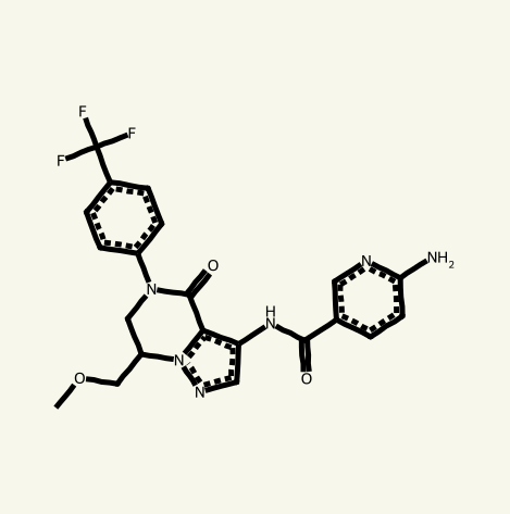 COCC1CN(c2ccc(C(F)(F)F)cc2)C(=O)c2c(NC(=O)c3ccc(N)nc3)cnn21